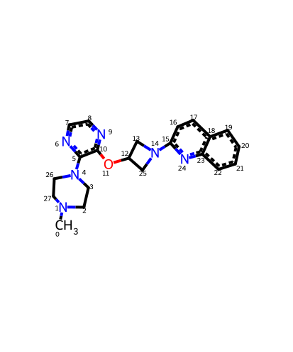 CN1CCN(c2nccnc2OC2CN(c3ccc4ccccc4n3)C2)CC1